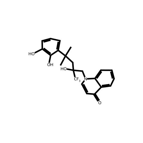 CC(C)(CC(O)(Cn1ccc(=O)c2ccccc21)C(F)(F)F)c1cccc(O)c1O